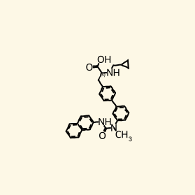 CN(C(=O)Nc1ccc2ccccc2c1)c1cccc(-c2ccc(C[C@H](NCC3CC3)C(=O)O)cc2)c1